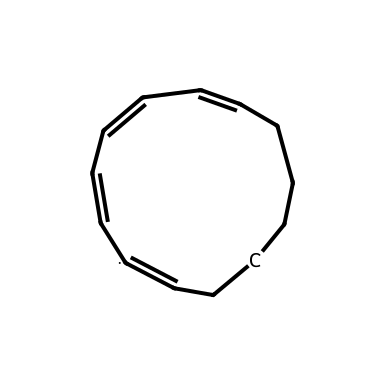 [C]1=CCCCCCC=CC=CC=C1